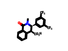 CN1C(=O)c2ccccc2[C@H](C(=O)O)[C@H]1c1cc(C(F)(F)F)cc(C(F)(F)F)c1